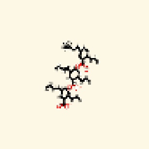 CCCCC(CC)CC(CCCC)C(=O)[O-].CCCCC(CC)CC(CCCC)C(=O)[O-].CCCCC(CC)CC(CCCC)C(=O)[O-].[Al+3]